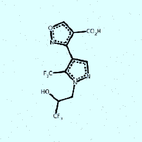 O=C(O)c1conc1-c1cnn(CC(O)C(F)(F)F)c1C(F)(F)F